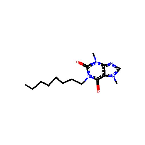 CCCCCCCCn1c(=O)c2c(ncn2C)n(C)c1=O